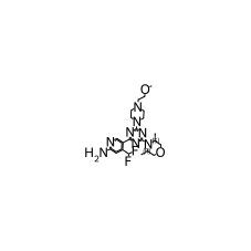 COCCN1CCN(c2nc(-c3cnc(N)cc3C(F)F)nc(N3[C@H](C)COC[C@@H]3C)n2)CC1